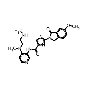 CNCCN(C)c1ccncc1NC(=O)c1csc(N2Cc3ccc(OC)cc3C2=O)n1